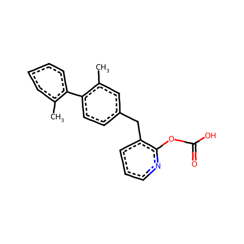 Cc1ccccc1-c1ccc(Cc2cccnc2OC(=O)O)cc1C